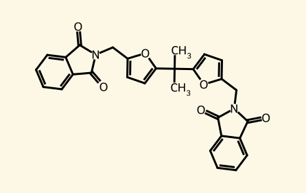 CC(C)(c1ccc(CN2C(=O)c3ccccc3C2=O)o1)c1ccc(CN2C(=O)c3ccccc3C2=O)o1